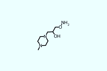 CN1CCN(CC(O)CON)CC1